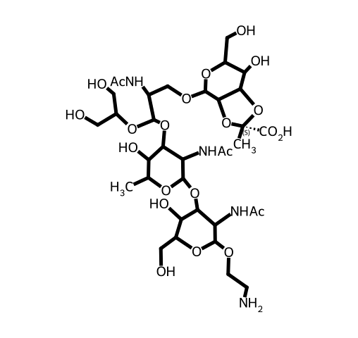 CC(=O)NC(COC1OC(CO)C(O)C2O[C@](C)(C(=O)O)OC12)C(OC(CO)CO)OC1C(O)C(C)OC(OC2C(O)C(CO)OC(OCCN)C2NC(C)=O)C1NC(C)=O